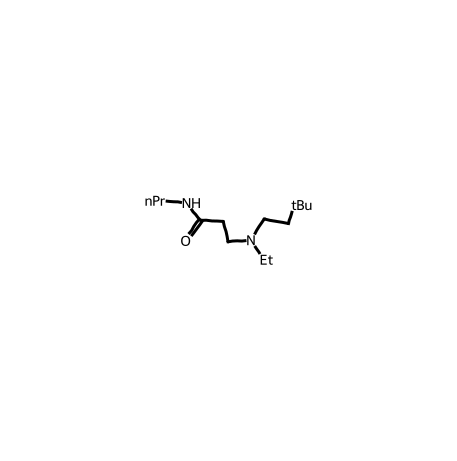 CCCNC(=O)CCN(CC)CCC(C)(C)C